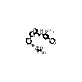 COc1cc(N2CCOCC2)ccc1NC(=O)c1cnn2ccc(N3CCC[C@@H](N)C3)nc12.O=C(O)C(F)(F)F